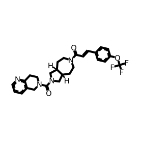 O=C(/C=C/c1ccc(OC(F)(F)F)cc1)N1CC[C@@H]2CN(C(=O)N3CCc4ncccc4C3)C[C@@H]2CC1